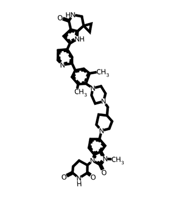 Cc1cc(-c2cc(-c3cc4c([nH]3)C3(CC3)CNC4=O)ccn2)cc(C)c1N1CCN(CC2CCN(c3ccc4c(c3)n(C)c(=O)n4C3CCC(=O)NC3=O)CC2)CC1